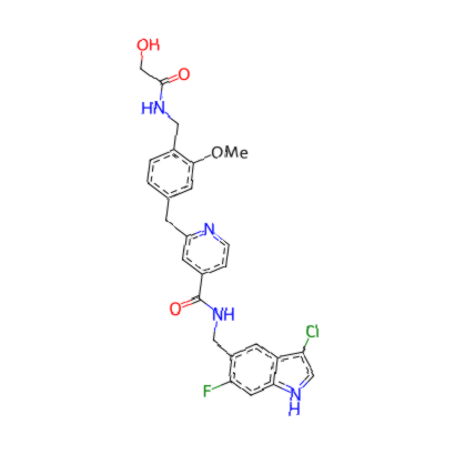 COc1cc(Cc2cc(C(=O)NCc3cc4c(Cl)c[nH]c4cc3F)ccn2)ccc1CNC(=O)CO